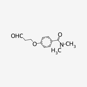 CN(C)C(=O)c1ccc(OCCC=O)cc1